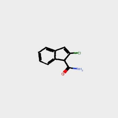 NC(=O)C1C(Cl)=Cc2ccccc21